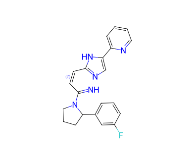 N=C(/C=C\c1ncc(-c2ccccn2)[nH]1)N1CCCC1c1cccc(F)c1